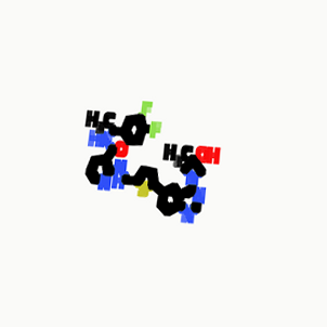 C[C@H](NC(=O)c1cccnc1NCc1ccc(-c2ccc3ncnc(N4CC(C)(O)C4)c3c2)s1)c1ccc(F)c(F)c1